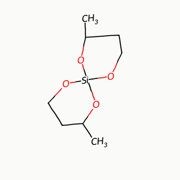 CC1CCO[Si]2(OCCC(C)O2)O1